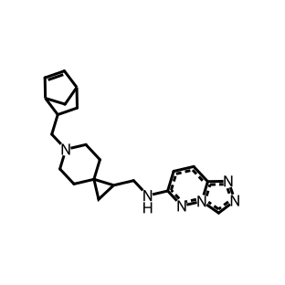 C1=CC2CC1CC2CN1CCC2(CC1)CC2CNc1ccc2nncn2n1